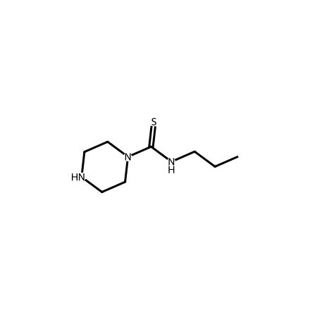 CCCNC(=S)N1CCNCC1